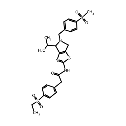 CCS(=O)(=O)c1ccc(CC(=O)Nc2nc3c(s2)CN(Cc2ccc(S(C)(=O)=O)cc2)C3C(C)C)cc1